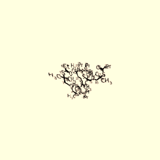 CCC(=O)SC(C)(C)COCC(C)(C)SP(N(C(C)C)C(C)C)N(C(C)C)C(C)CCC(C)N(C(C)C)P(SC(C)(C)COCC(C)(C)SC(=O)C(C)C)N(C(C)C)C(C)C